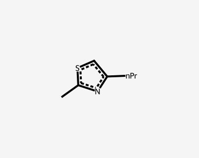 CCCc1csc(C)n1